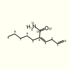 C=CCC=C(CCCCC)C(N)=O